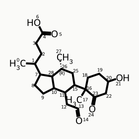 CC(CCC(=O)O)C1CCC2C(CC=O)C(C3(C)CCC(O)CC3=O)C[C@@H](C)C12